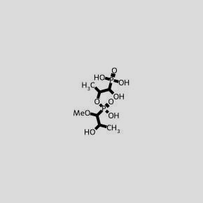 COC(C(C)O)P(=O)(O)OC(C)C(O)P(=O)(O)O